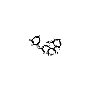 O=C(c1ccccc1O)c1ccc(Oc2ccccc2)cc1O